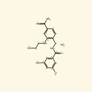 Cl.N=C(N)c1ccc(CNC(=O)c2cc(O)cc(Cl)c2)c(NCCO)c1